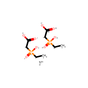 CCP(=O)([O-])CC(=O)[O-].CCP(=O)([O-])CC(=O)[O-].[Ti+4]